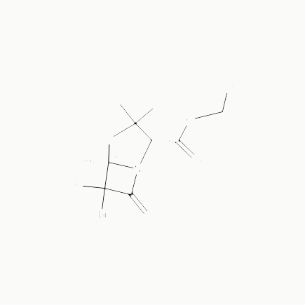 CC1(C)S[C@H]2N(C(=O)C2(Br)Br)[C@H]1C(=O)OCCl